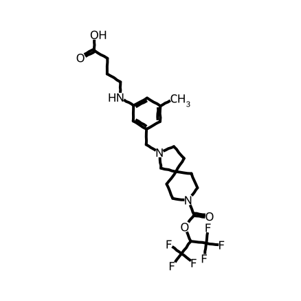 Cc1cc(CN2CCC3(CCN(C(=O)OC(C(F)(F)F)C(F)(F)F)CC3)C2)cc(NCCCC(=O)O)c1